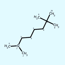 C[Si](C)CCCCC(C)(C)C